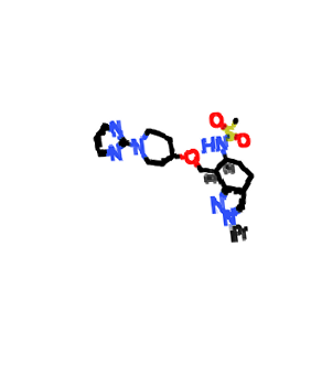 CC(C)n1cc2c(n1)[C@@H](COC1CCN(c3ncccn3)CC1)[C@@H](NS(C)(=O)=O)CC2